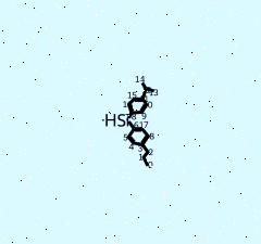 CCCc1ccc([SiH]c2ccc(C(C)C)cc2)cc1